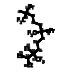 CCCC(CCCC(C)(C(C)C)C(F)(F)F)(CCCC(CC)(C(CC)CC)C(F)(F)F)C(F)(F)F